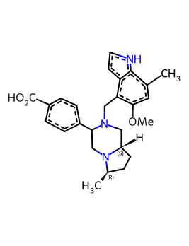 COc1cc(C)c2[nH]ccc2c1CN1C[C@@H]2CC[C@@H](C)N2CC1c1ccc(C(=O)O)cc1